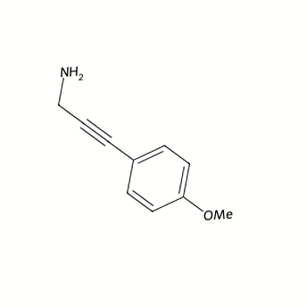 COc1ccc(C#CCN)cc1